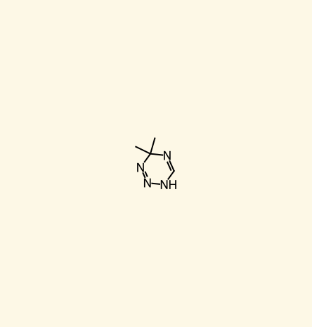 CC1(C)N=CNN=N1